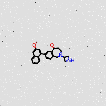 COc1cc(-c2ccc3c(c2)C(=O)CCN(C2CNC2)C3)c2ccccc2c1